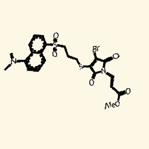 COC(=O)CCN1C(=O)C(Br)=C(SCCCS(=O)(=O)c2cccc3c(N(C)C)cccc23)C1=O